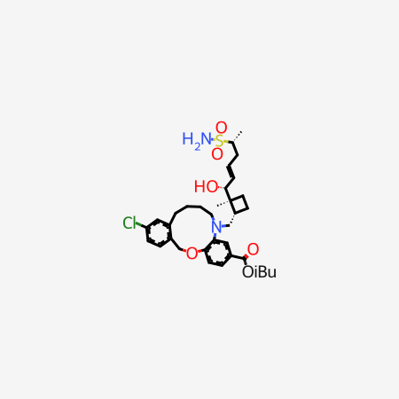 CC(C)COC(=O)c1ccc2c(c1)N(C[C@H]1CC[C@]1(C)[C@H](O)/C=C/C[C@@H](C)S(N)(=O)=O)CCCCc1cc(Cl)ccc1CO2